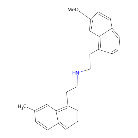 COc1ccc2cccc(CCNCCc3cccc4ccc(C)cc34)c2c1